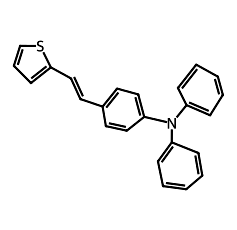 C(=Cc1cccs1)c1ccc(N(c2ccccc2)c2ccccc2)cc1